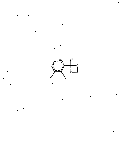 N#CC1(c2cccc(F)c2F)OCO1